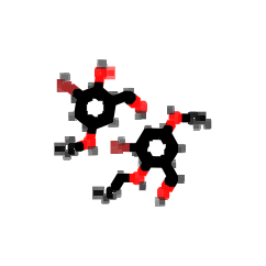 CCOc1c(Br)cc(OC)cc1C=O.COc1cc(Br)c(O)c(C=O)c1